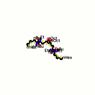 CCCCCCCCOc1c(OCCCCCCCC)c2cc(-c3ccc(C4=C5C(=O)N(CC(CC)CCCC)C(c6ccc(-c7ccc(-c8ccc(CCCCCC)s8)s7)s6)=C5C(=O)N4CC(CC)CCCC)s3)sc2c2sc(-c3ccc(C4=C5C(=O)N(CC(CC)CCCC)C(c6ccc(-c7ccc(-c8ccc(CCCCCC)s8)s7)s6)=C5C(=O)N4CC(CC)CCCC)s3)cc12